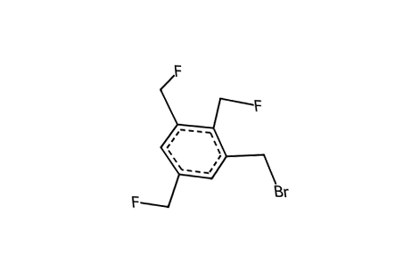 FCc1cc(CF)c(CF)c(CBr)c1